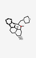 CC[C@]12CCCN3CCc4c(n(c5ccccc45)C(CN4CCOCC4)C1)[C@@H]32.Cl.Cl